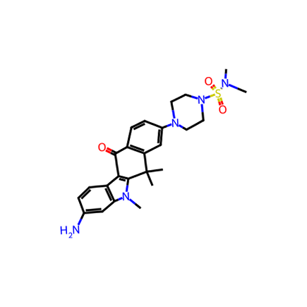 CN(C)S(=O)(=O)N1CCN(c2ccc3c(c2)C(C)(C)c2c(c4ccc(N)cc4n2C)C3=O)CC1